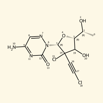 C[C@@H](O)[C@H]1O[C@@H](n2ncc(N)nc2=O)C(Cl)(C#CCl)C1O